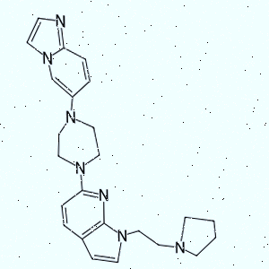 c1cn2cc(N3CCN(c4ccc5ccn(CCN6CCCC6)c5n4)CC3)ccc2n1